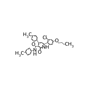 CCCCOc1ccc(-c2cc(-c3ccc(C)cc3)c(C(=O)Nc3ccc(C)cc3)c(=O)[nH]2)c(Cl)c1